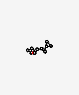 c1ccc2c(c1)c1ccccc1c1c(-n3c4ccccc4c4cc(-c5ccc6c(c5)c5ccccc5n6-c5cc6c7ccccc7n7c8ccccc8c(c5)c67)ccc43)cccc21